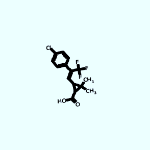 CC1(C)C(C=C(c2ccc(Cl)cc2)C(F)(F)F)C1C(=O)O